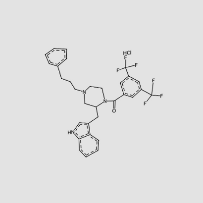 Cl.O=C(c1cc(C(F)(F)F)cc(C(F)(F)F)c1)N1CCN(CCCc2ccccc2)CC1Cc1c[nH]c2ccccc12